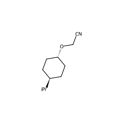 CC(C)[C@H]1CC[C@H](OCC#N)CC1